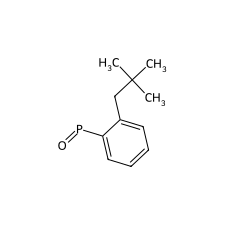 CC(C)(C)Cc1ccccc1P=O